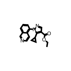 CCOC(=O)c1cnn(-c2cccc3cnccc23)c1C1CC1